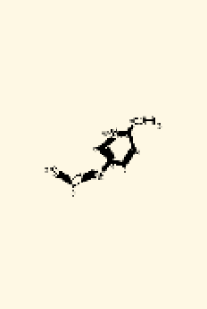 Cc1ccc(N=C=S)cn1